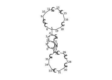 c1cc2cc(C3CCCCCCCCCCCCCC3)sc2nc1C1CCCCCCCCCCCC1